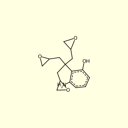 Nc1cccc(O)c1C(CC1CO1)(CC1CO1)CC1CO1